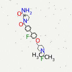 CC(C)(F)CN1CCC(COc2ccc(-c3ccc(C(=O)N4CCC[C@@H](C(N)=O)C4)cc3)c(F)c2)CC1